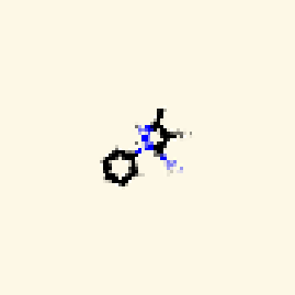 [2H]c1c(C)nn(-c2ccccc2)c1N